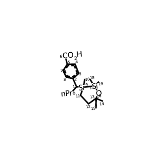 CCCC(c1ccc(C(=O)O)cc1)[Si]1(C)CCC(C)(C)O[Si]1(C)C